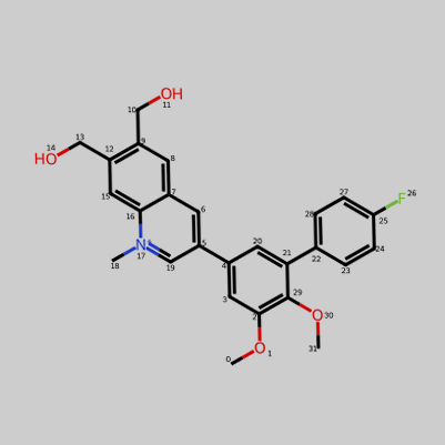 COc1cc(-c2cc3cc(CO)c(CO)cc3[n+](C)c2)cc(-c2ccc(F)cc2)c1OC